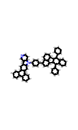 c1ccc(-c2c3c(c(-c4ccccc4)c4ccccc24)-c2ccc(-c4ccc(-n5c6ccncc6c6cc7c8ccccc8c8ccccc8c7cc65)cc4)c4cccc-3c24)cc1